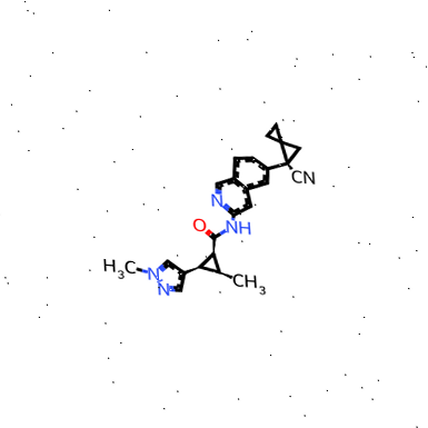 C[C@@H]1[C@H](C(=O)Nc2cc3cc([C@@]4(C#N)CC45CC5)ccc3cn2)[C@@H]1c1cnn(C)c1